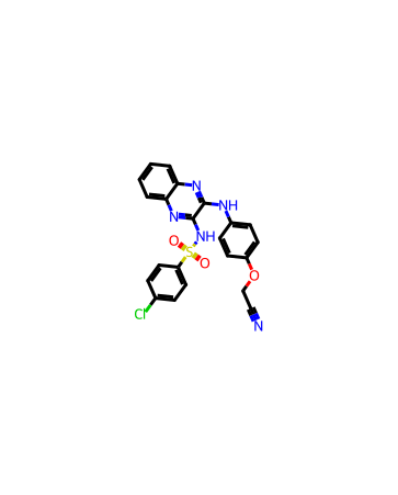 N#CCOc1ccc(Nc2nc3ccccc3nc2NS(=O)(=O)c2ccc(Cl)cc2)cc1